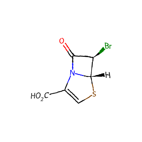 O=C(O)C1=CS[C@H]2[C@H](Br)C(=O)N12